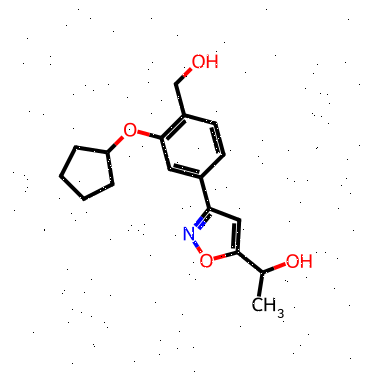 CC(O)c1cc(-c2ccc(CO)c(OC3CCCC3)c2)no1